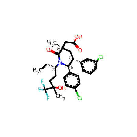 CC[C@@H](CCC(C)(O)C(F)(F)F)N1C(=O)[C@@](C)(CC(=O)O)C[C@H](c2cccc(Cl)c2)[C@H]1c1ccc(Cl)cc1